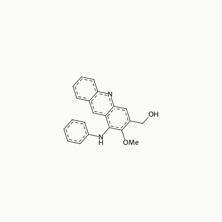 COc1c(CO)cc2nc3ccccc3cc2c1Nc1ccccc1